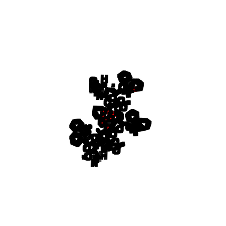 CO[C@H]1OC(CO[Si](c2ccccc2)(c2ccccc2)C(C)(C)C)[C@@H](O[C@@H]2OC(COC(C)=O)[C@@H](O[C@@H]3OC(CO[Si](c4ccccc4)(c4ccccc4)C(C)(C)C)[C@@H](O[C@@H]4OC(COC(C)=O)[C@@H](O[C@@H]5OC(CO[Si](c6ccccc6)(c6ccccc6)C(C)(C)C)[C@@H](C)[C@H](PBB=O)C5N=[N+]=[N-])[C@H](C)C4OC(=O)c4ccccc4)[C@H](C)C3N=[N+]=[N-])C(OCc3ccccc3)[C@@H]2C)[C@H](PBB=O)C1N=[N+]=[N-]